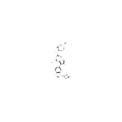 [2H]C([2H])([2H])N1CC[C@@H](Nc2nc(OC)c3c(-c4ccc5nnn(C6CC(F)(F)C6)c5c4)c(F)cn3n2)C(F)(F)C1